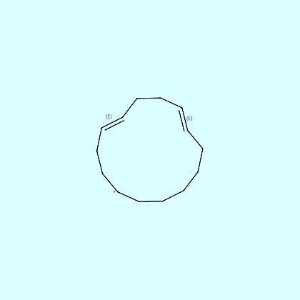 [CH]1CC/C=C/CC/C=C/CCCCC1